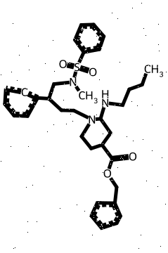 CCCCNC1CC(C(=O)OCc2ccccc2)CCN1CCC(CN(C)S(=O)(=O)c1ccccc1)c1ccccc1